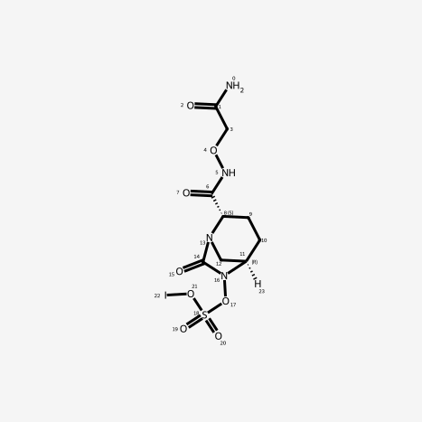 NC(=O)CONC(=O)[C@@H]1CC[C@@H]2CN1C(=O)N2OS(=O)(=O)OI